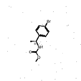 COC(=O)N[C@@H](C)c1ccc(Br)cc1